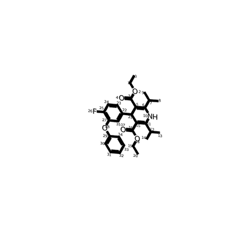 CCOC(=O)C1=C(C(C)C)NC(C(C)C)=C(C(=O)OCC)C1c1ccc(F)c(Oc2ccccc2)c1